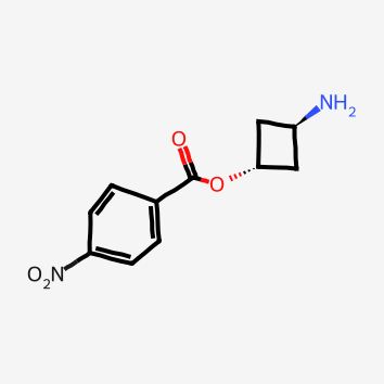 N[C@H]1C[C@H](OC(=O)c2ccc([N+](=O)[O-])cc2)C1